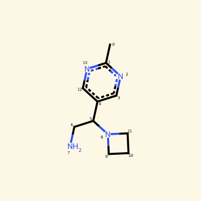 Cc1ncc(C(CN)N2CCC2)cn1